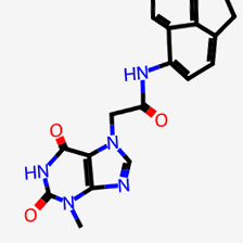 Cn1c(=O)[nH]c(=O)c2c1ncn2CC(=O)Nc1ccc2c3c(cccc13)CC2